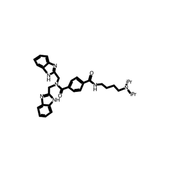 CC(C)N(CCCCNC(=O)c1ccc(C(=O)N(Cc2nc3ccccc3[nH]2)Cc2nc3ccccc3[nH]2)cc1)C(C)C